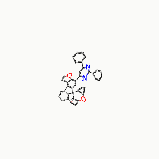 c1ccc(-c2cc(-c3cc4c(c5ccoc35)-c3ccccc3C43c4ccccc4Oc4ccccc43)nc(-c3ccccc3)n2)cc1